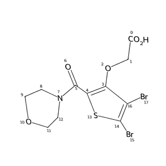 O=C(O)COc1c(C(=O)N2CCOCC2)sc(Br)c1Br